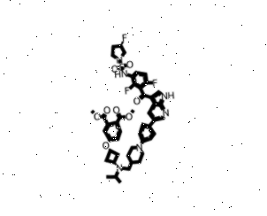 COC(=O)c1ccc(O[C@H]2C[C@H](N(CC3CCN(c4ccc(-c5cnc6[nH]cc(C(=O)c7c(F)ccc(NS(=O)(=O)N8CC[C@@H](F)C8)c7F)c6c5)cc4)CC3)C(C)C)C2)cc1C(=O)OC